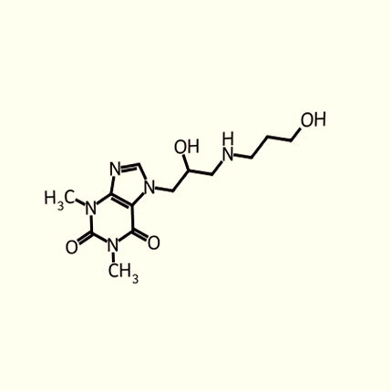 Cn1c(=O)c2c(ncn2CC(O)CNCCCO)n(C)c1=O